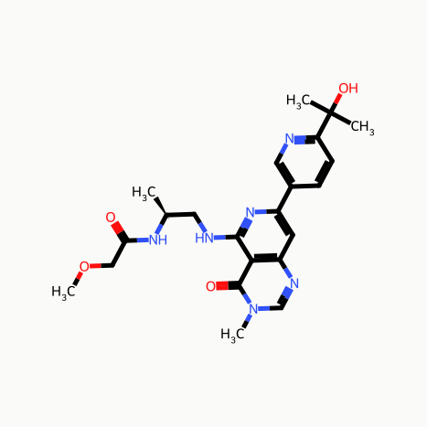 COCC(=O)N[C@@H](C)CNc1nc(-c2ccc(C(C)(C)O)nc2)cc2ncn(C)c(=O)c12